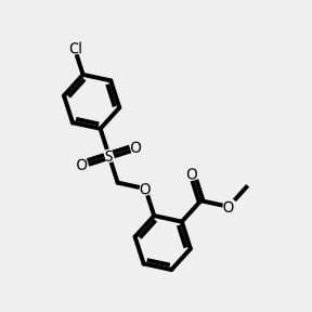 COC(=O)c1ccccc1OCS(=O)(=O)c1ccc(Cl)cc1